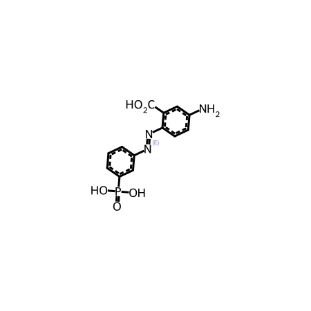 Nc1ccc(/N=N/c2cccc(P(=O)(O)O)c2)c(C(=O)O)c1